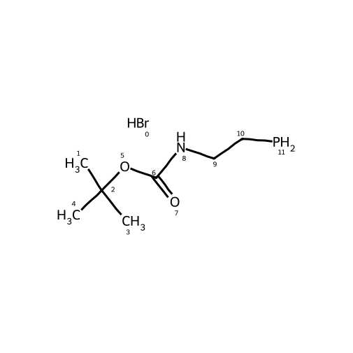 Br.CC(C)(C)OC(=O)NCCP